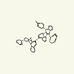 Cc1ccc(-c2c3c(c(-c4ccccc4)c4ccccc24)-c2cccc4c(-c5cc6ccccc6c6c5sc5ccc(-c7ccccc7)cc56)ccc-3c24)cc1